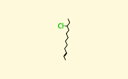 CC=CCCCCCCC(Cl)CC